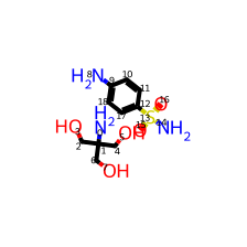 NC(CO)(CO)CO.Nc1ccc(S(N)(=O)=O)cc1